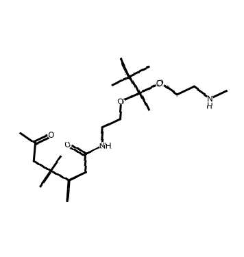 CNCCOC(C)(OCCNC(=O)CC(C)C(C)(C)CC(C)=O)C(C)(C)C